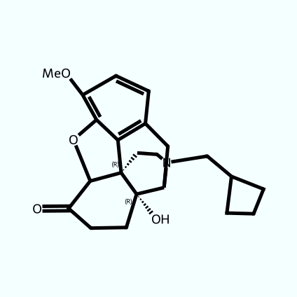 COc1ccc2c3c1OC1C(=O)CC[C@]4(O)C(C2)N(CC2CCC2)CC[C@@]314